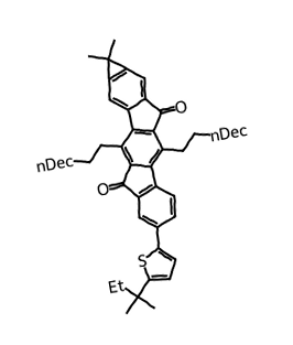 CCCCCCCCCCCCc1c2c(=O)c3cc4c(cc3c2c(CCCCCCCCCCCC)c2c(=O)c3cc(-c5ccc(C(C)(C)CC)s5)ccc3c12)C4(C)C